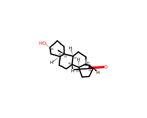 C[C@]12CC[C@@H](O)C[C@@H]1CC[C@@H]1[C@@H]2CC[C@]23CCC(=O)[C@H]2CC[C@@H]13